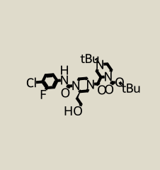 CC(C)(C)OC(=O)N1CCN(C(C)(C)C)CC1C(=O)N1CCN(C(=O)Nc2ccc(Cl)c(F)c2)[C@H](CCO)C1